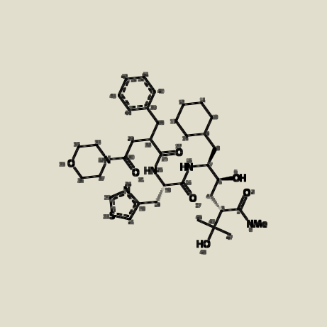 CNC(=O)[C@@H](C[C@H](O)[C@H](CC1CCCCC1)NC(=O)[C@H](Cc1cscn1)NC(=O)C(CC(=O)N1CCOCC1)Cc1ccccc1)C(C)(C)O